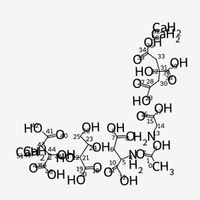 CC(=O)O.NC(CC(=O)O)C(=O)O.NCC(=O)O.O=C(O)C(O)C(O)CO.O=C(O)CC(O)(CC(=O)O)C(=O)O.O=C(O)CC(O)C(=O)O.[CaH2].[CaH2].[CaH2].[CaH2]